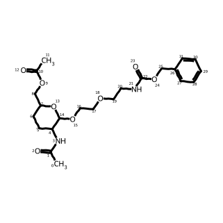 CC(=O)NC1[CH][CH]C(COC(C)=O)OC1OCCOCCNC(=O)OCc1ccccc1